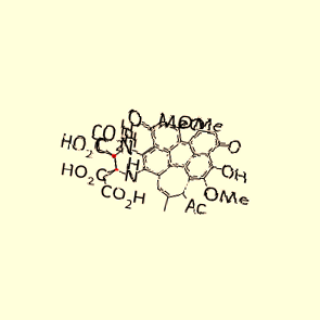 COc1c(O)c2c(=O)cc(OC)c3c4c(OC)cc(=O)c5c(NC(CCC(=O)O)C(=O)O)c(NC(CCC(=O)O)C(=O)O)c6c(c(c1C(C(C)=O)C(C)=C6)c23)c54